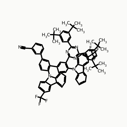 CC(C)(C)c1cc(-c2nc(-c3cc(C(C)(C)C)cc(C(C)(C)C)c3)nc(-c3cc(-c4cc(-c5cccc(C#N)c5)ccc4-n4c5ccccc5c5cc(C(F)(F)F)ccc54)ccc3-n3c4ccccc4c4cc(C(F)(F)F)ccc43)n2)cc(C(C)(C)C)c1